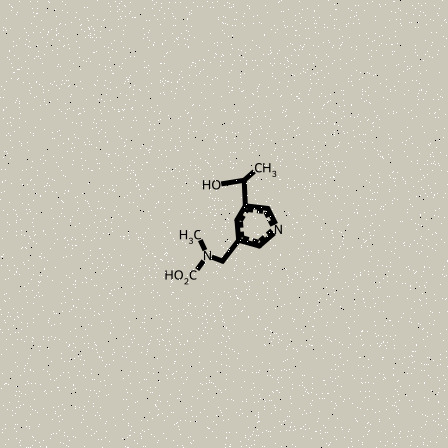 CC(O)c1cncc(CN(C)C(=O)O)c1